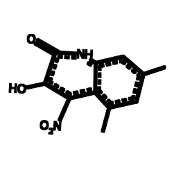 Cc1cc(C)c2c([N+](=O)[O-])c(O)c(=O)[nH]c2c1